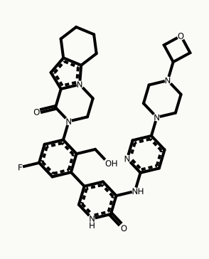 O=C1c2cc3c(n2CCN1c1cc(F)cc(-c2c[nH]c(=O)c(Nc4ccc(N5CCN(C6COC6)CC5)cn4)c2)c1CO)CCCC3